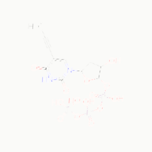 CC#Cc1cn(C2CC(O)C(OP(=O)(O)OP(=O)(O)OP(=O)(O)O)O2)c(=O)[nH]c1=O